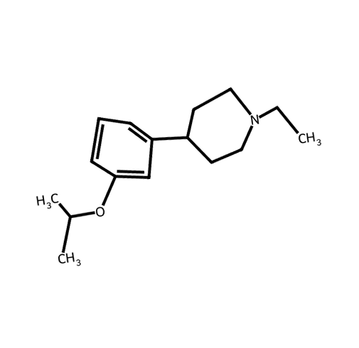 CCN1CCC(c2cccc(OC(C)C)c2)CC1